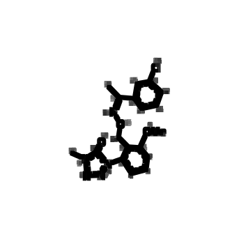 COc1cccc(-n2nnn(C)c2=O)c1CON=C(C)c1cccc(Cl)c1